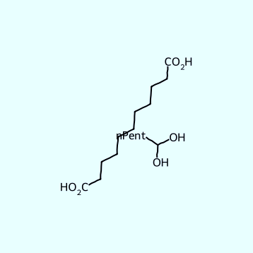 CCCCCC(O)O.O=C(O)CCCCCCCCCC(=O)O